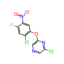 O=[N+]([O-])c1cc(Oc2cncc(Cl)n2)c(Cl)cc1F